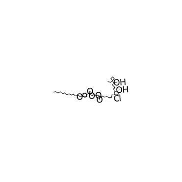 CCCCCCCCCCCCOc1ccc(C(=O)OCCOC(=O)CCC/C=C\C[C@@H]2[C@@H](/C=C/C[C@H](O)C3(CC)CCC3)[C@H](O)C[C@H]2Cl)cc1